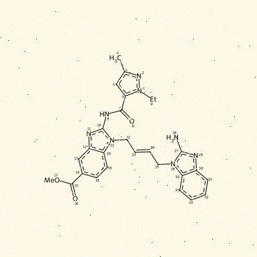 CCn1nc(C)cc1C(=O)Nc1nc2cc(C(=O)OC)ccc2n1C/C=C/Cn1c(N)nc2ccccc21